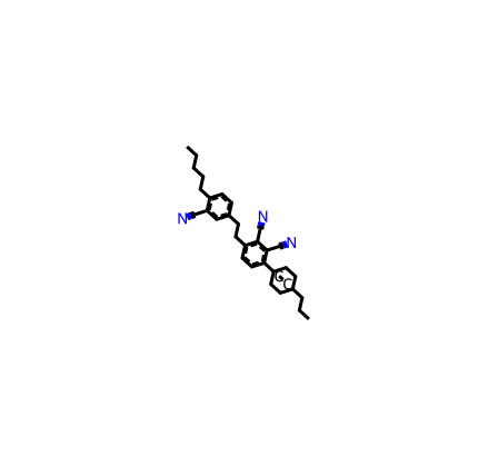 CCCCCc1ccc(CCc2ccc(C34CCC(CCC)(CC3)CC4)c(C#N)c2C#N)cc1C#N